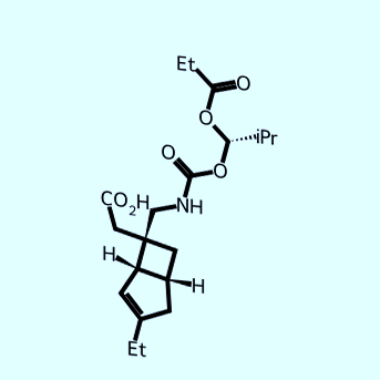 CCC(=O)O[C@@H](OC(=O)NC[C@@]1(CC(=O)O)C[C@@H]2CC(CC)=C[C@@H]21)C(C)C